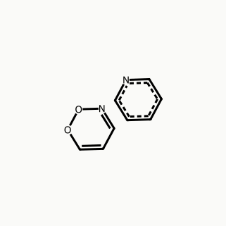 C1=COON=C1.c1ccncc1